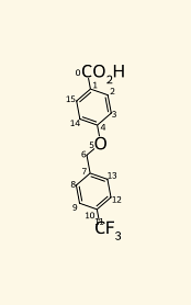 O=C(O)c1ccc(OCc2ccc(C(F)(F)F)cc2)cc1